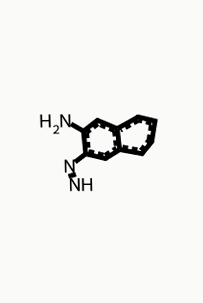 N=Nc1cc2ccccc2cc1N